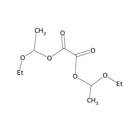 CCOC(C)OC(=O)C(=O)OC(C)OCC